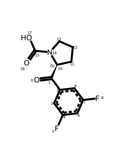 O=C(c1cc(F)cc(F)c1)[C@@H]1CCCN1C(=O)O